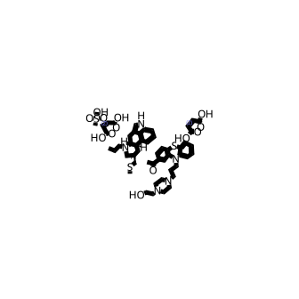 CC(=O)c1ccc2c(c1)N(CCCN1CCN(CCO)CC1)c1ccccc1S2.CCCN1C[C@H](CSC)C[C@@H]2c3cccc4[nH]cc(c34)C[C@H]21.CS(=O)(=O)O.O=C(O)/C=C\C(=O)O.O=C(O)/C=C\C(=O)O